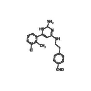 Cc1c(Cl)cccc1C1=CC(NCCc2ccc(C=O)cc2)=NC(N)N1